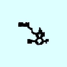 CNCCCc1c2c(Br)ccc(F)c2nn1C